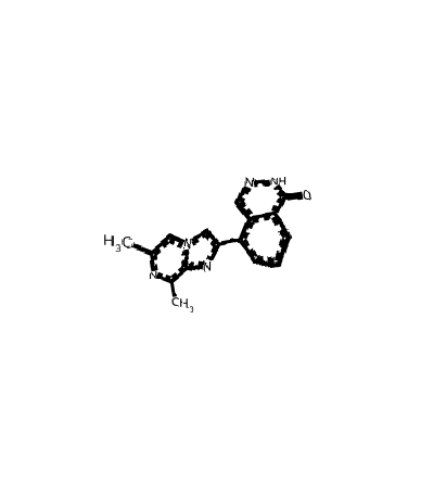 Cc1cn2cc(-c3cccc4c(=O)[nH]ncc34)nc2c(C)n1